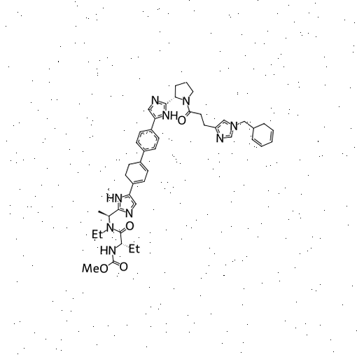 CC[C@H](NC(=O)OC)C(=O)N(CC)[C@@H](C)c1ncc(C2=CC=C(c3ccc(-c4cnc([C@@H]5CCCN5C(=O)CCc5cn(CC6C=CC=CC6)cn5)[nH]4)cc3)CC2)[nH]1